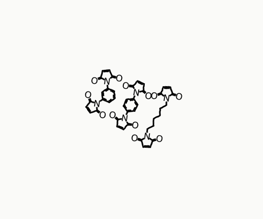 O=C1C=CC(=O)N1CCCCCCN1C(=O)C=CC1=O.O=C1C=CC(=O)N1c1ccc(N2C(=O)C=CC2=O)cc1.O=C1C=CC(=O)N1c1cccc(N2C(=O)C=CC2=O)c1